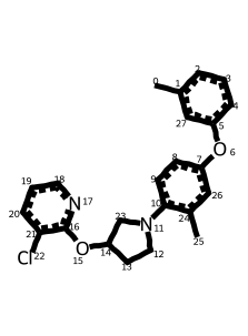 Cc1cccc(Oc2ccc(N3CCC(Oc4ncccc4Cl)C3)c(C)c2)c1